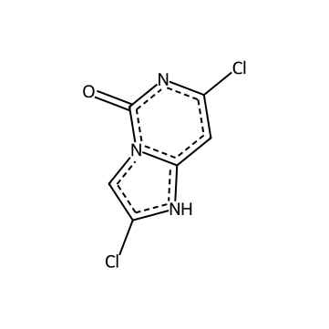 O=c1nc(Cl)cc2[nH]c(Cl)cn12